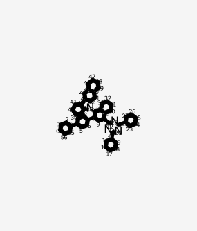 c1ccc(-c2ccc(-c3cc(-c4nc(-c5ccccc5)nc(-c5ccccc5)n4)c4ccccc4c3-n3c4ccccc4c4cc5ccccc5cc43)cc2)cc1